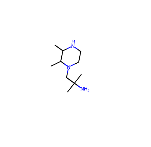 CC1NCCN(CC(C)(C)N)C1C